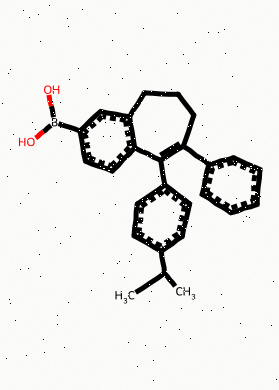 CC(C)c1ccc(C2=C(c3ccccc3)CCCc3cc(B(O)O)ccc32)cc1